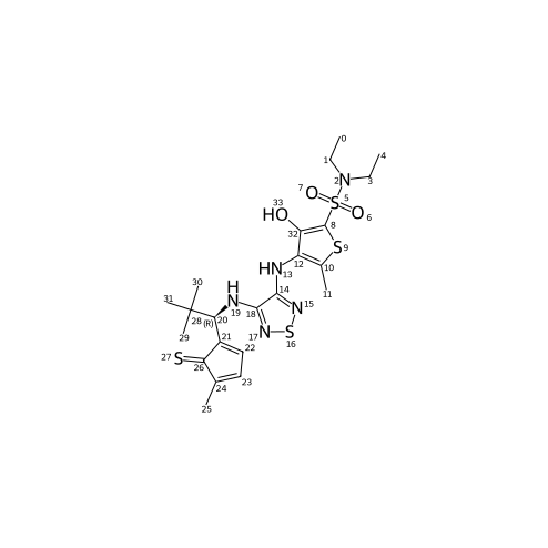 CCN(CC)S(=O)(=O)c1sc(C)c(Nc2nsnc2N[C@@H](C2=CC=C(C)C2=S)C(C)(C)C)c1O